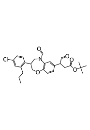 CCCc1cc(Cl)ccc1C1COc2ccc(C(C=O)CC(=O)OC(C)(C)C)cc2N(C=O)C1